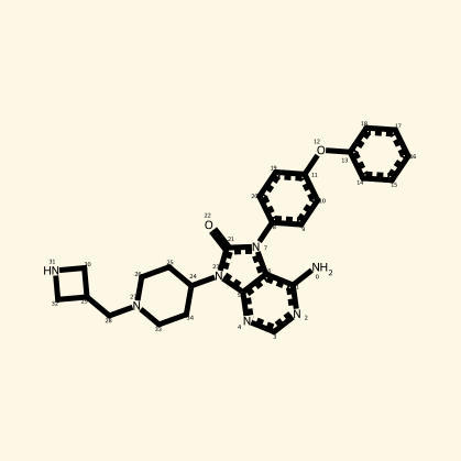 Nc1ncnc2c1n(-c1ccc(Oc3ccccc3)cc1)c(=O)n2C1CCN(CC2CNC2)CC1